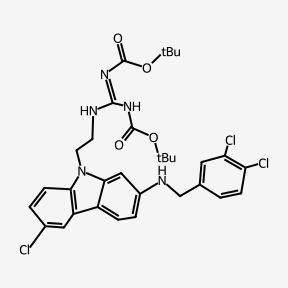 CC(C)(C)OC(=O)N=C(NCCn1c2ccc(Cl)cc2c2ccc(NCc3ccc(Cl)c(Cl)c3)cc21)NC(=O)OC(C)(C)C